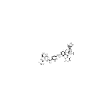 O=C(N[C@@H](c1ccccc1)c1cccc(OCc2ccc(C(=O)N(CCC3OCCO3)Cc3ccccc3)cc2)c1)O[C@H]1CN2CCC1C2